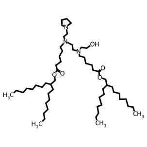 CCCCCCCCC(CCCCCCCC)COC(=O)CCCCCN(CCO)CCN(CCCCCC(=O)OCC(CCCCCCCC)CCCCCCCC)CCN1CCCC1